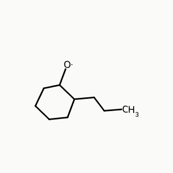 CCCC1CCCCC1[O]